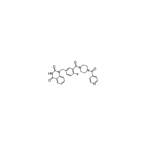 O=C(c1ccncc1)N1CCN(C(=O)c2cc(Cn3c(=O)[nH]c(=O)c4ccccc43)ccc2F)CC1